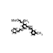 COCCN(C)c1cc(NN=Cc2cccc(C)c2)nc(OCCN2CCOCC2)c1